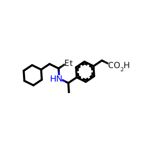 CCC(CC1CCCCC1)NC(C)c1ccc(CC(=O)O)cc1